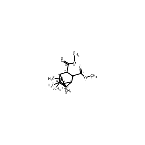 COC(=O)C1C2C(=O)C(C)(C)C(C(C)=C2C)C1C(=O)OC